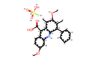 COc1ccc2c(C(=O)O)c3c(C)c(OC)c(C)c(-c4ccccc4)c3nc2c1.O=S(=O)(O)F